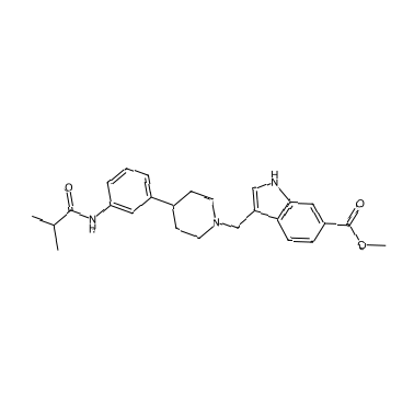 COC(=O)c1ccc2c(CN3CCC(c4cccc(NC(=O)C(C)C)c4)CC3)c[nH]c2c1